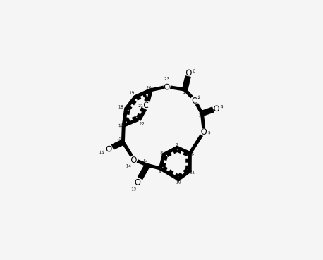 O=C1CC(=O)Oc2ccc(cc2)C(=O)OC(=O)c2ccc(cc2)O1